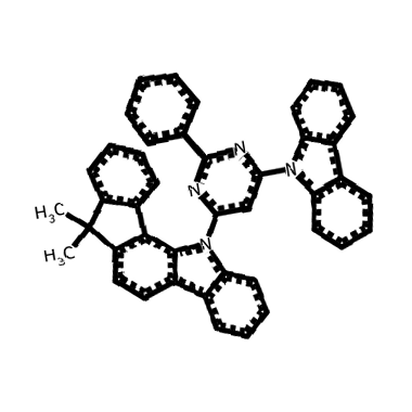 CC1(C)c2ccccc2-c2c1ccc1c3ccccc3n(-c3cc(-n4c5ccccc5c5ccccc54)nc(-c4ccccc4)n3)c21